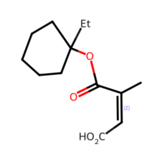 CCC1(OC(=O)/C(C)=C\C(=O)O)CCCCC1